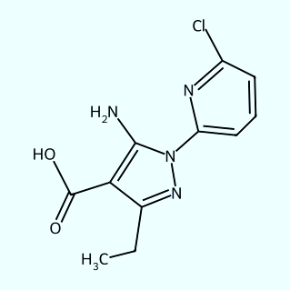 CCc1nn(-c2cccc(Cl)n2)c(N)c1C(=O)O